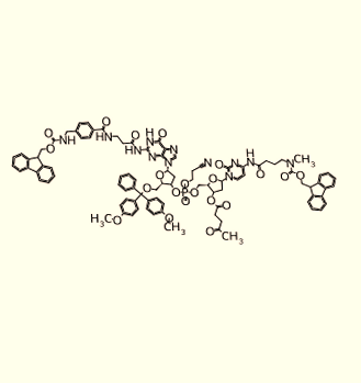 COc1ccc(C(OC[C@H]2O[C@@H](n3cnc4c(=O)[nH]c(NC(=O)CCNC(=O)c5ccc(CNC(=O)OCC6c7ccccc7-c7ccccc76)cc5)nc43)CC2OP(=O)(OCCC#N)OC[C@H]2OC(n3ccc(NC(=O)CCCN(C)C(=O)OCC4c5ccccc5-c5ccccc54)nc3=O)CC2OC(=O)CCC(C)=O)(c2ccccc2)c2ccc(OC)cc2)cc1